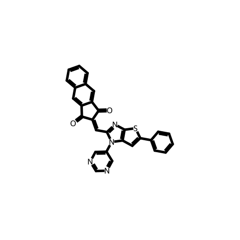 O=C1C(=Cc2nc3sc(-c4ccccc4)cc3n2-c2cncnc2)C(=O)c2cc3ccccc3cc21